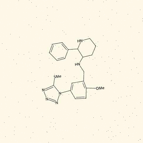 COc1ccc(-n2nnnc2SC)cc1CNC1CCCNC1c1ccccc1